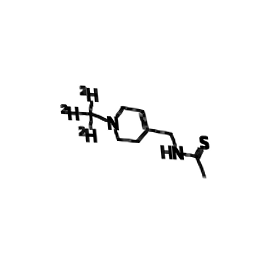 [2H]C([2H])([2H])N1CC=C(CNC(C)=S)CC1